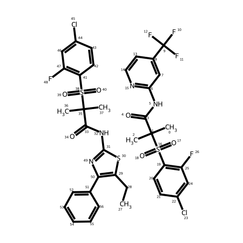 CC(C)(C(=O)Nc1cc(C(F)(F)F)ccn1)S(=O)(=O)c1ccc(Cl)cc1F.CCc1sc(NC(=O)C(C)(C)S(=O)(=O)c2ccc(Cl)cc2F)nc1-c1ccccc1